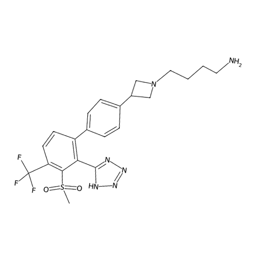 CS(=O)(=O)c1c(C(F)(F)F)ccc(-c2ccc(C3CN(CCCCN)C3)cc2)c1-c1nnn[nH]1